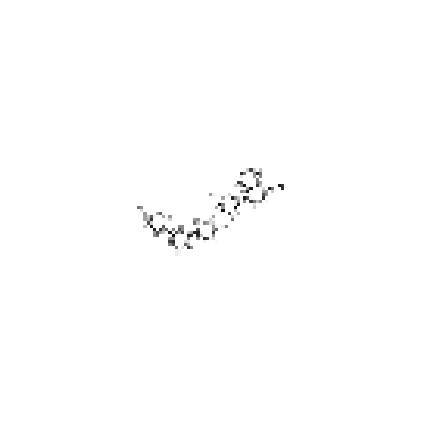 C[C@@H]1CN(c2ccc(C#N)c3ncccc23)C[C@H](CN2CCN(c3cc(N4CCN(C)CC4)ncn3)CC2)O1